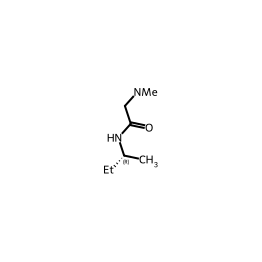 CC[C@@H](C)NC(=O)CNC